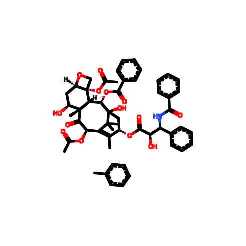 CC(=O)O[C@H]1C(=O)[C@@]2(C)[C@H]([C@H](OC(=O)c3ccccc3)[C@]3(O)C[C@H](OC(=O)[C@H](O)[C@@H](NC(=O)c4ccccc4)c4ccccc4)C(C)=C1C3(C)C)[C@]1(OC(C)=O)CO[C@@H]1C[C@@H]2O.Cc1ccccc1